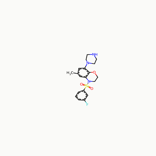 Cc1cc(N2CCNCC2)c2c(c1)N(S(=O)(=O)c1cccc(F)c1)CCO2